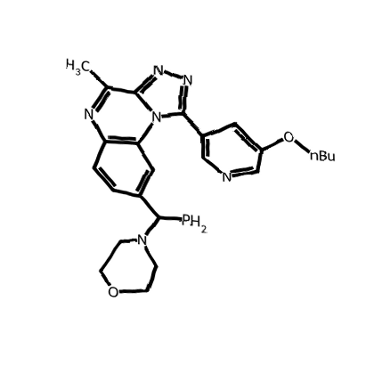 CCCCOc1cncc(-c2nnc3c(C)nc4ccc(C(P)N5CCOCC5)cc4n23)c1